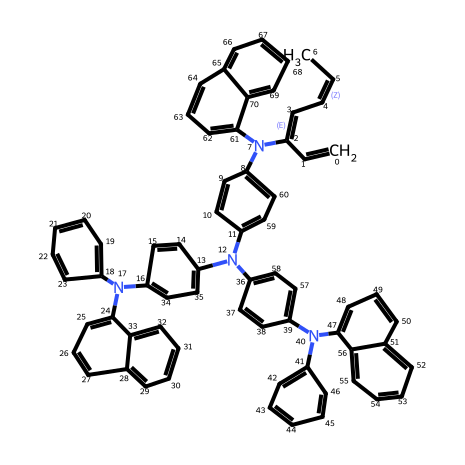 C=C/C(=C\C=C/C)N(c1ccc(N(c2ccc(N(c3ccccc3)c3cccc4ccccc34)cc2)c2ccc(N(c3ccccc3)c3cccc4ccccc34)cc2)cc1)c1cccc2ccccc12